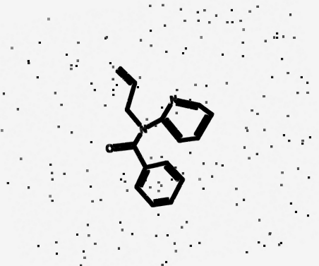 C=CCN(C(=O)c1ccccc1)c1ccccn1